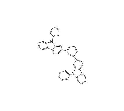 c1ccc(-n2c3ccccc3c3ccc(-c4cccc(-c5ccc6c7ccccc7n(-c7ccccc7)c6c5)c4)cc32)cc1